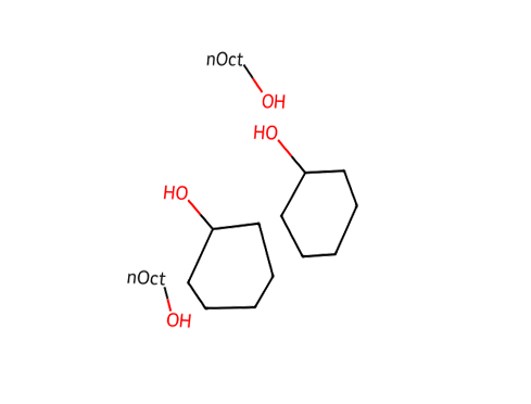 CCCCCCCCO.CCCCCCCCO.OC1CCCCC1.OC1CCCCC1